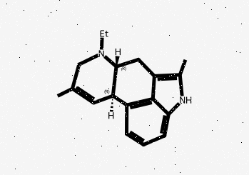 CCN1CC(C)=C[C@@H]2c3cccc4[nH]c(C)c(c34)C[C@H]21